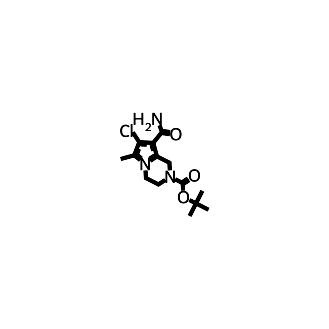 Cc1c(Cl)c(C(N)=O)c2n1CCN(C(=O)OC(C)(C)C)C2